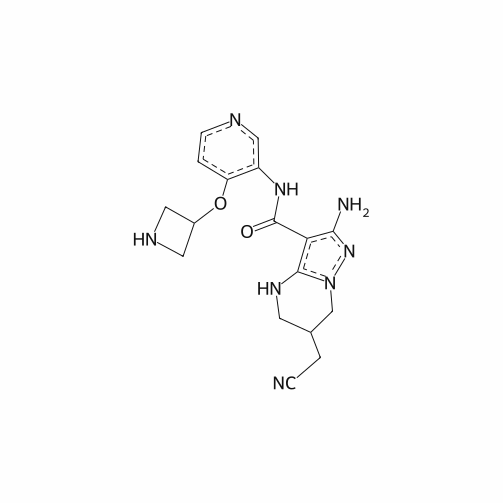 N#CCC1CNc2c(C(=O)Nc3cnccc3OC3CNC3)c(N)nn2C1